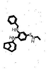 CCNSc1ccc(NC2C=CCC3CCC2C3)c(NCc2ccccc2)c1